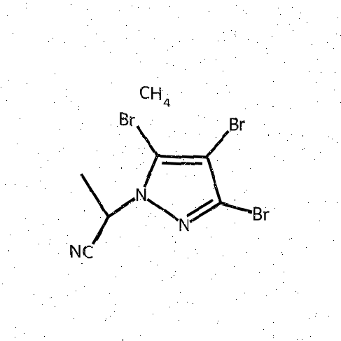 C.CC(C#N)n1nc(Br)c(Br)c1Br